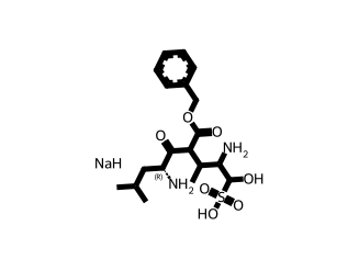 CC(C)C[C@@H](N)C(=O)C(C(=O)OCc1ccccc1)C(C)C(N)C(O)S(=O)(=O)O.[NaH]